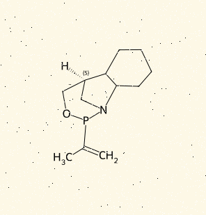 C=C(C)P1OC[C@@H]2CN1C1CCCCC12